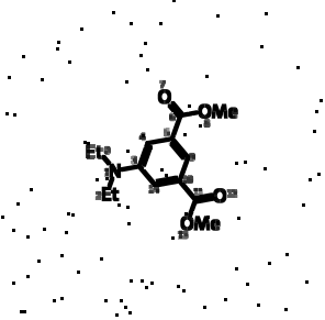 CCN(CC)c1cc(C(=O)OC)cc(C(=O)OC)c1